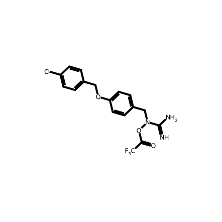 N=C(N)N(Cc1ccc(OCc2ccc(Cl)cc2)cc1)OC(=O)C(F)(F)F